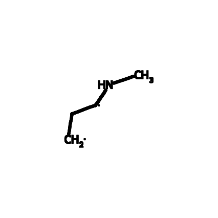 [CH2]C[CH]NC